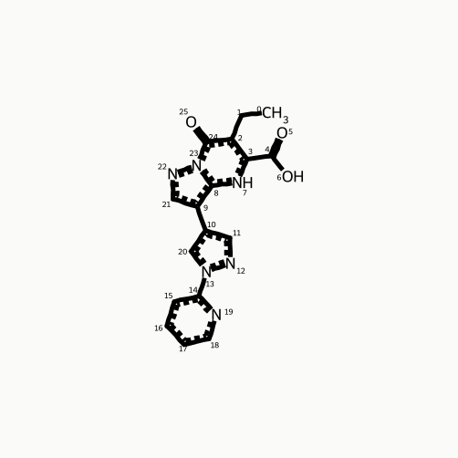 CCc1c(C(=O)O)[nH]c2c(-c3cnn(-c4ccccn4)c3)cnn2c1=O